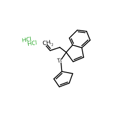 C=CC[C]1([Ti][C]2=CC=CC2)C=Cc2ccccc21.Cl.Cl